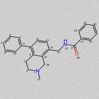 CN1CCc2c(-c3ccccc3)ccc(CNC(=O)c3ccccc3)c2C1